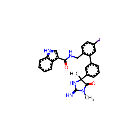 CN1C(=N)NC(C)(c2cccc(-c3cc(I)ccc3CNC(=O)c3c[nH]c4ccccc34)c2)C1=O